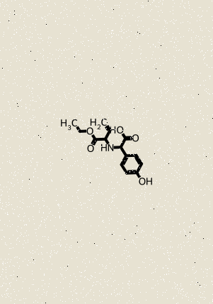 C=CC(NC(C(=O)O)c1ccc(O)cc1)C(=O)OCC